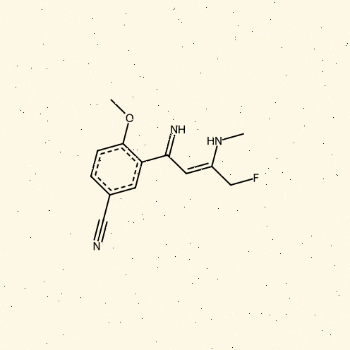 CN/C(=C\C(=N)c1cc(C#N)ccc1OC)CF